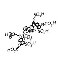 COC1=C(/C=C/C2=[N+](CCCCOS(=O)O)c3ccc4c(OCC(=O)O)cc(S(=O)(=O)O)cc4c3C2(C)C)CCC/C1=C\C=C1\N(CCCCS(=O)(=O)O)c2ccc3c(OCC(=O)O)cc(S(=O)(=O)O)cc3c2C1(C)C